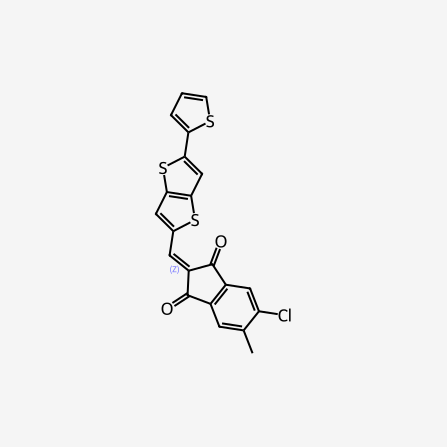 Cc1cc2c(cc1Cl)C(=O)/C(=C\c1cc3sc(-c4cccs4)cc3s1)C2=O